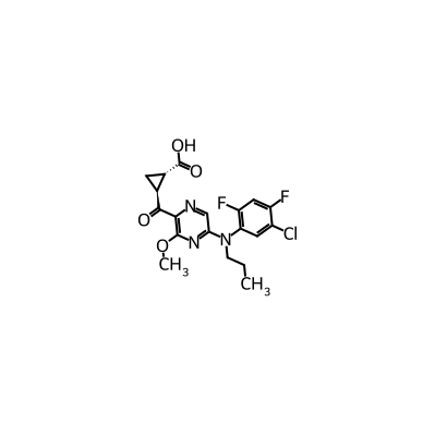 CCCN(c1cnc(C(=O)[C@H]2C[C@@H]2C(=O)O)c(OC)n1)c1cc(Cl)c(F)cc1F